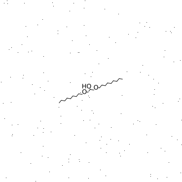 CCCCCCCCCOCC(O)COCCCCCCCCC